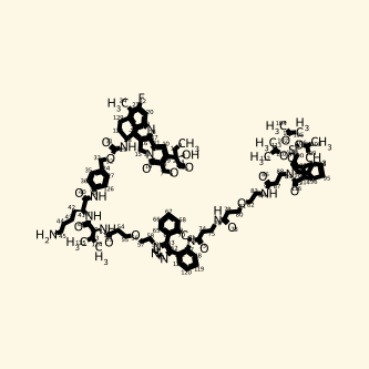 CC[C@@]1(O)C(=O)OCc2c1cc1n(c2=O)Cc2c-1nc1cc(F)c(C)c3c1c2[C@@H](NC(=O)OCc1ccc(NC(=O)[C@H](CCCCN)NC(=O)[C@@H](NC(=O)CCOCCn2nnc4c2-c2ccccc2CN(C(=O)CCNC(=O)CCOCCNC(=O)CCN2C(=O)C5C6C=CC(C6CCC[Si](OC(C)C)(OC(C)C)OC(C)C)C5C2=O)c2ccccc2-4)C(C)C)cc1)CC3